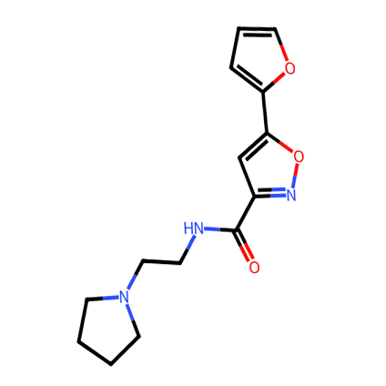 O=C(NCCN1CCCC1)c1cc(-c2ccco2)on1